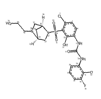 O=C(Nc1ccc(Cl)c(S(=O)(=O)N2C[C@@H]3C[C@H]2CN3CCO)c1O)Nc1cccc(F)c1Cl